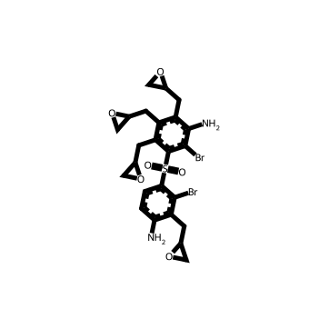 Nc1ccc(S(=O)(=O)c2c(Br)c(N)c(CC3CO3)c(CC3CO3)c2CC2CO2)c(Br)c1CC1CO1